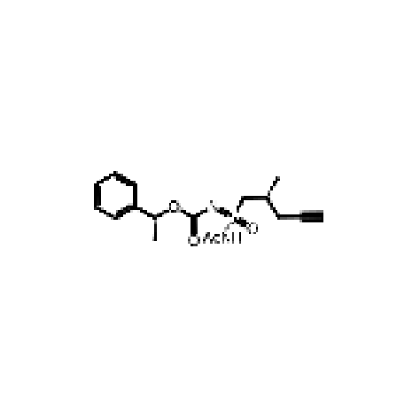 C#CC[C@H](C)C[S@@](=O)(=NC(=O)O[C@@H](C)c1ccccc1)NC(C)=O